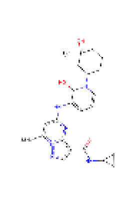 CNc1cc(NC2=CC=CN(C3CCC[C@](C)(O)C3)C2O)nc2c(C(=O)NC3CC3)cnn12